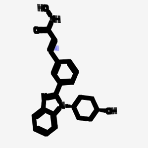 O=C(/C=C/c1cccc(-c2nc3ccccc3n2[C@H]2CC[C@H](O)CC2)c1)NO